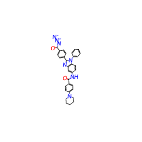 [N-]=[N+]=NC(=O)c1ccc(-c2nc3cc(NC(=O)c4ccc(N5CCCCC5)cc4)ccc3n2-c2ccccc2)cc1